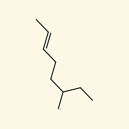 [CH2]C(CC)CC/C=C/C